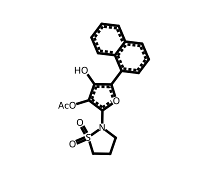 CC(=O)Oc1c(N2CCCS2(=O)=O)oc(-c2cccc3ccccc23)c1O